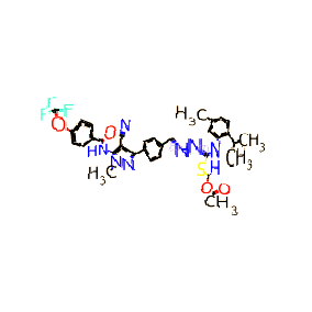 CC(=O)OCS/C(=N\N=C\c1ccc(-c2nn(C)c(NC(=O)c3ccc(OC(F)(F)F)cc3)c2C#N)cc1)Nc1cc(C)ccc1C(C)C